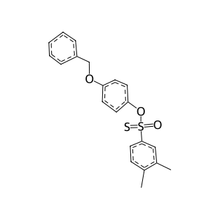 Cc1ccc(S(=O)(=S)Oc2ccc(OCc3ccccc3)cc2)cc1C